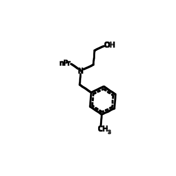 CCCN(CCO)Cc1cccc(C)c1